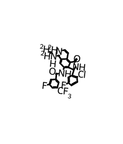 [2H]C([2H])([2H])Nc1nccc2c3c(c(NC(=O)c4cc(F)cc(C(F)(F)F)c4)cc12)C(c1cc(F)ccc1Cl)NC3=O